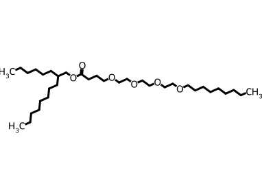 CCCCCCCCCOCCOCCOCCOCCCC(=O)OCC(CCCCCC)CCCCCCCC